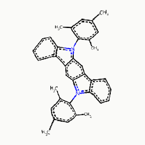 Cc1cc(C)c(-n2c3ccccc3c3cc4c(cc32)c2ccccc2n4-c2c(C)cc(C)cc2C)c(C)c1